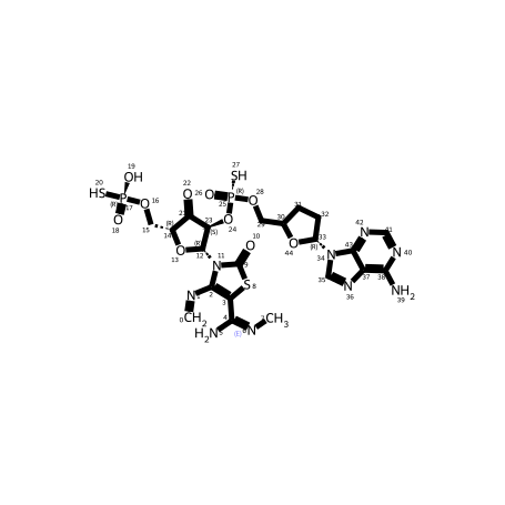 C=Nc1c(/C(N)=N\C)sc(=O)n1[C@@H]1O[C@H](CO[P@@](=O)(O)S)C(=O)[C@H]1O[P@](=O)(S)OCC1CC[C@H](n2cnc3c(N)ncnc32)O1